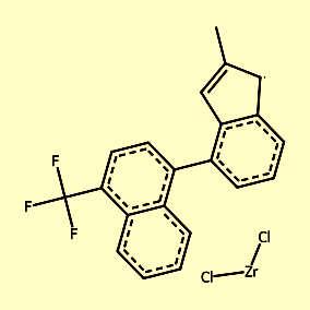 CC1=Cc2c(cccc2-c2ccc(C(F)(F)F)c3ccccc23)[CH]1.[Cl][Zr][Cl]